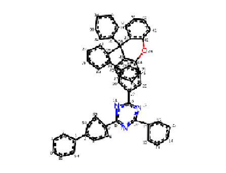 c1ccc(-c2ccc(-c3nc(-c4ccccc4)nc(-c4cccc(-c5ccccc5C5(c6ccccc6)c6ccccc6Oc6ccccc65)c4)n3)cc2)cc1